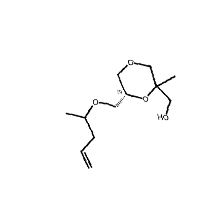 C=CCC(C)OC[C@@H]1COCC(C)(CO)O1